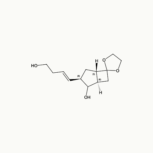 OCCC=C[C@H]1C[C@H]2[C@@H](CC23OCCO3)C1O